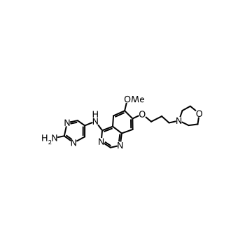 COc1cc2c(Nc3cnc(N)nc3)ncnc2cc1OCCCN1CCOCC1